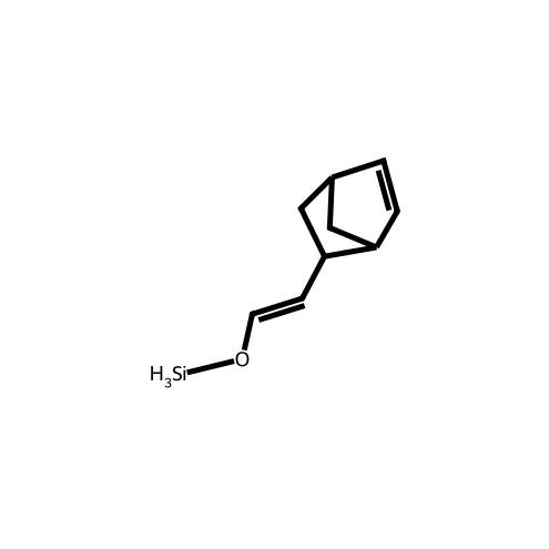 [SiH3]OC=CC1CC2C=CC1C2